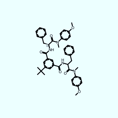 COc1ccc(N(C)C(=O)C(Cc2ccccc2)NC(=O)c2cc(C(=O)N[C@@H](Cc3ccccc3)C(=O)N(C)c3ccc(OC)cc3)cc(C(C)(C)C)c2)cc1